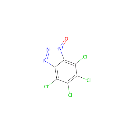 O=[N+]1N=Nc2c(Cl)c(Cl)c(Cl)c(Cl)c21